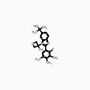 Cc1cc(-c2nc3ccc(C(C)(C)O)cc3n2C2(C)COC2)c(F)c(C)c1C